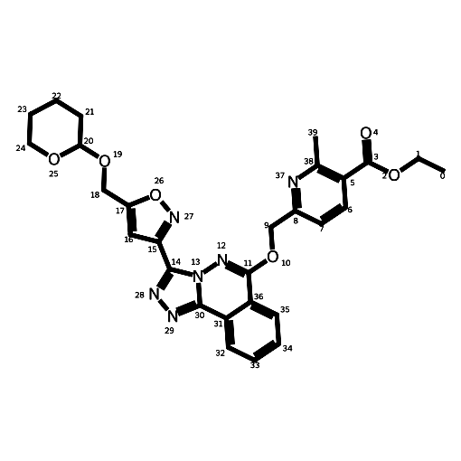 CCOC(=O)c1ccc(COc2nn3c(-c4cc(COC5CCCCO5)on4)nnc3c3ccccc23)nc1C